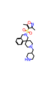 Cc1noc(C)c1S(=O)(=O)N1Cc2ccccc2C2(CCN(CC3CCNCC3)CC2)C1